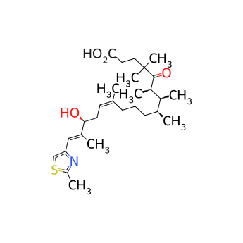 C/C(=C/C[C@H](O)/C(C)=C/c1csc(C)n1)CCC[C@H](C)[C@H](C)[C@@H](C)C(=O)C(C)(C)CCC(=O)O